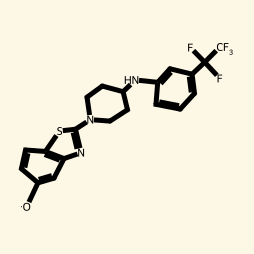 [O]c1ccc2sc(N3CCC(Nc4cccc(C(F)(F)C(F)(F)F)c4)CC3)nc2c1